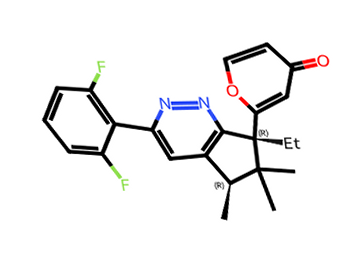 CC[C@]1(c2cc(=O)cco2)c2nnc(-c3c(F)cccc3F)cc2[C@H](C)C1(C)C